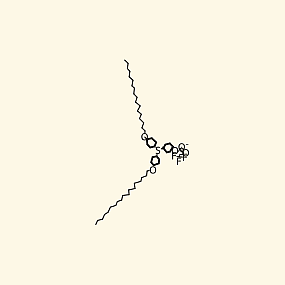 CCCCCCCCCCCCCCCCCCOc1ccc([S+](c2ccccc2)c2ccc(OCCCCCCCCCCCCCCCCCC)cc2)cc1.O=S(=O)([O-])C(F)(F)F